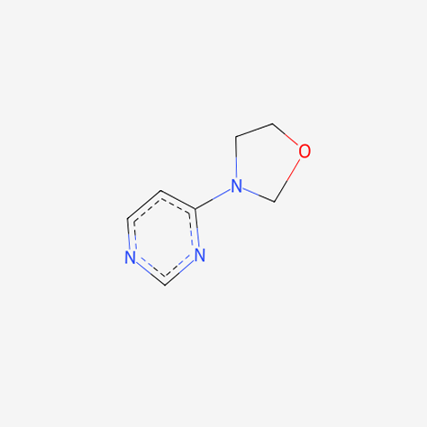 c1cc(N2CCOC2)ncn1